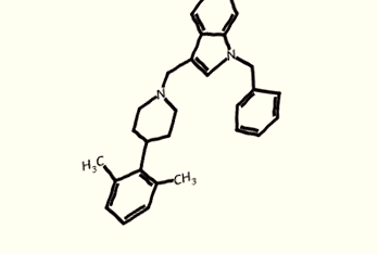 Cc1cccc(C)c1C1CCN(Cc2cn(Cc3ccccc3)c3ccccc23)CC1